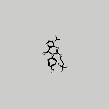 CC(C)n1cnc2c(=O)n(-c3ccc(Cl)cc3)c(SCCC(F)(F)F)nc21